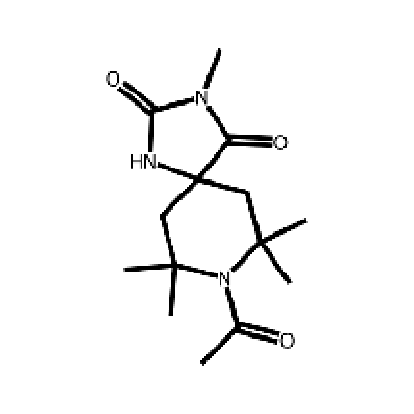 CC(=O)N1C(C)(C)CC2(CC1(C)C)NC(=O)N(C)C2=O